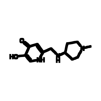 CN1CCC(NCc2cc(=O)c(O)c[nH]2)CC1